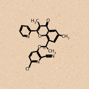 Cc1cc([C@@H](C)Oc2ccc(Cl)nc2C#N)c2oc(-c3ccccn3)c(C)c(=O)c2c1